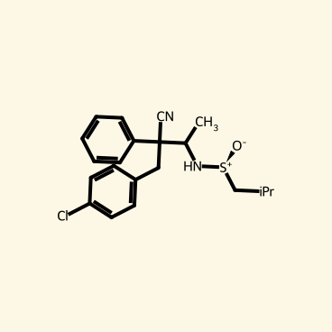 CC(C)C[S@+]([O-])NC(C)C(C#N)(Cc1ccc(Cl)cc1)c1ccccc1